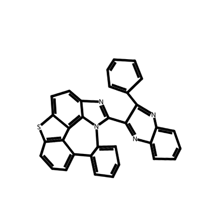 c1ccc(-c2nc3ccccc3nc2-c2nc3ccc4sc5cccc6c7ccccc7n2c3c4c56)cc1